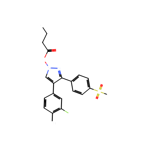 CCCC(=O)On1cc(-c2ccc(C)c(F)c2)c(-c2ccc(S(C)(=O)=O)cc2)n1